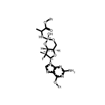 CCOc1nc(N)nc2c1ncn2[C@@H]1O[C@@H]2CO[P@@](O)(NC(C)C(=O)OC(C)C)O[C@H]2[C@@]1(C)F